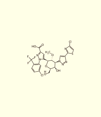 CO[C@@H]1[C@@H](n2cc(-c3nc(Cl)cs3)nn2)[C@@H](O)[C@@H](CO)O[C@H]1c1cc(C(=O)O)nn1-c1cc(Cl)ccc1C(F)(F)F